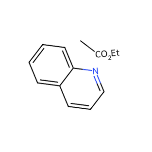 CCOC(C)=O.c1ccc2ncccc2c1